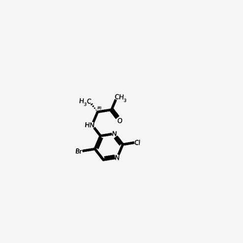 CC(=O)[C@@H](C)Nc1nc(Cl)ncc1Br